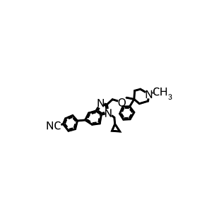 CN1CCC(COCc2nc3cc(-c4ccc(C#N)cc4)ccc3n2CC2CC2)(c2ccccc2)CC1